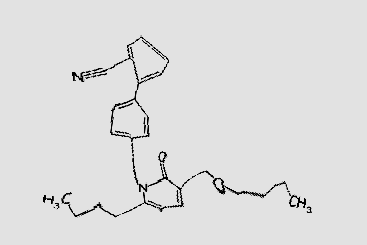 CCCCOCc1ccc(CCCC)n(Cc2ccc(-c3ccccc3C#N)cc2)c1=O